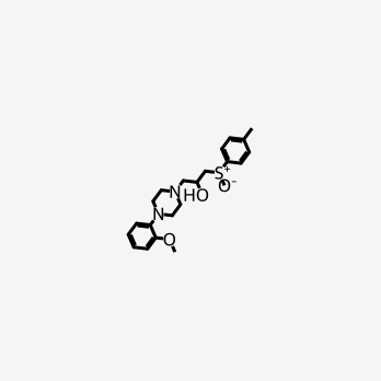 COc1ccccc1N1CCN(CC(O)C[S+]([O-])c2ccc(C)cc2)CC1